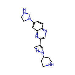 c1nn(C2CCNCC2)cc1-c1cnc2ccc(N3CCNC3)cc2n1